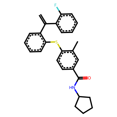 C=C(c1ccccc1F)c1ccccc1Sc1ccc(C(=O)NC2CCCC2)cc1C